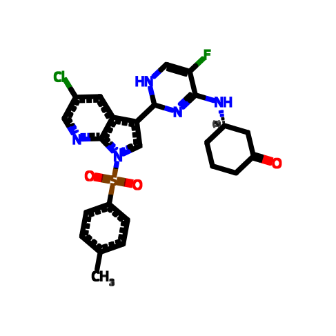 Cc1ccc(S(=O)(=O)n2cc(C3N=C(N[C@H]4CCCC(=O)C4)C(F)=CN3)c3cc(Cl)cnc32)cc1